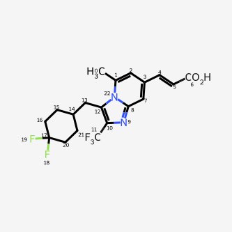 Cc1cc(C=CC(=O)O)cc2nc(C(F)(F)F)c(CC3CCC(F)(F)CC3)n12